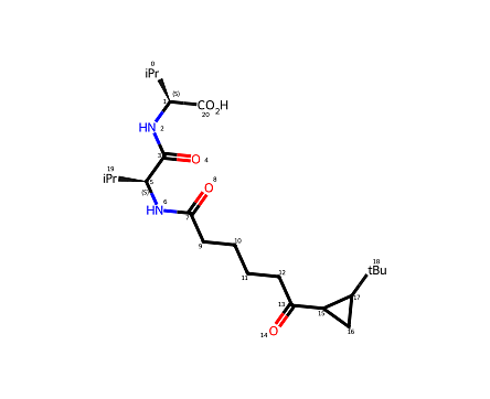 CC(C)[C@H](NC(=O)[C@@H](NC(=O)CCCCC(=O)C1CC1C(C)(C)C)C(C)C)C(=O)O